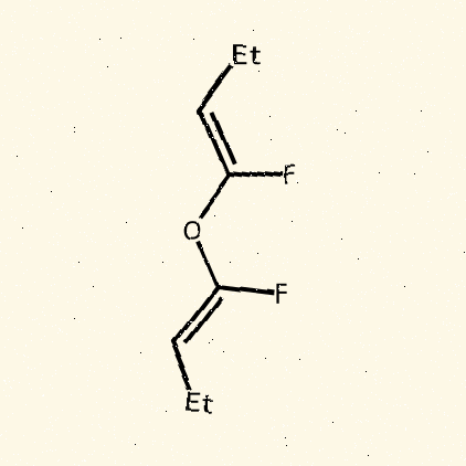 CC/C=C(\F)O/C(F)=C/CC